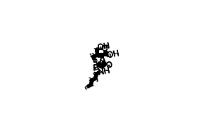 CCCCCNC1C(=O)N2C(C(=O)O)=C(CO)CS[C@@H]12